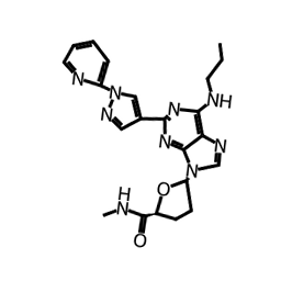 CCCNc1nc(-c2cnn(-c3ccccn3)c2)nc2c1ncn2[C@H]1CC[C@@H](C(=O)NC)O1